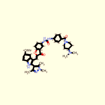 COc1ccc2[nH]c(-c3c(C)nn(C)c3C)c(/C=C3\Oc4ccc(NC(=O)Nc5ccc(C(=O)N6CCC(N(C)C)CC6)cc5)cc4C3=O)c2c1